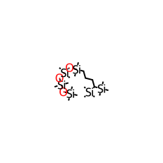 C[Si](C)(C)O[Si](C)(C)O[Si](C)(C)O[Si](C)(C)CCCC([Si](C)(C)C)[Si](C)(C)C